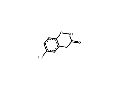 O=C1Cc2cc(O)ccc2ON1